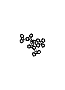 c1ccc([Si](c2ccccc2)(c2ccccc2)c2cccc(-c3cc(-n4c5ccccc5c5cc(-n6c7ccccc7c7ccccc76)ccc54)nc(-n4c5ccccc5c5cc(-n6c7ccccc7c7ccccc76)ccc54)n3)c2)cc1